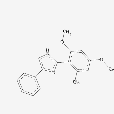 COc1cc(O)c(-c2nc(-c3ccccc3)c[nH]2)c(OC)c1